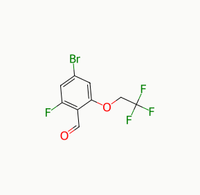 O=Cc1c(F)cc(Br)cc1OCC(F)(F)F